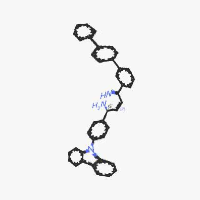 N=C(/C=C\[C@H](N)c1ccc(-n2c3ccccc3c3ccccc32)cc1)c1cccc(-c2ccc(-c3ccccc3)cc2)c1